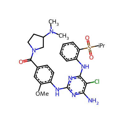 COc1cc(C(=O)N2CCC(N(C)C)C2)ccc1Nc1nc(N)c(Cl)c(Nc2ccccc2S(=O)(=O)C(C)C)n1